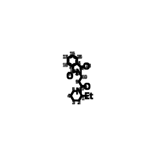 CCC1CCCCN1C(=O)CCN1C(=O)c2ccccc2C1=O